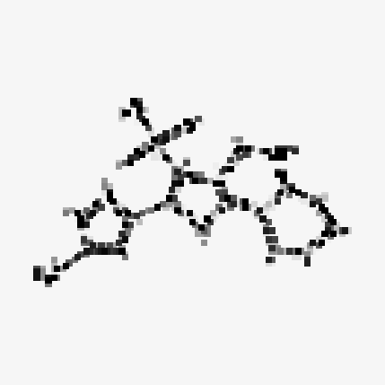 Cc1cc(-c2nc3c4ccccc4ncc3n2S(C)(=O)=O)on1